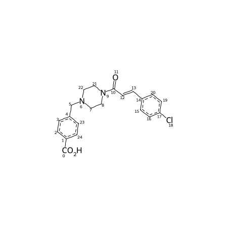 O=C(O)c1ccc(CN2CCN(C(=O)C=Cc3ccc(Cl)cc3)CC2)cc1